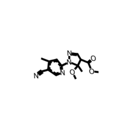 COC(=O)C1C=NN(c2cc(C)c(C#N)cn2)C1(C)OC